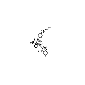 CCCCCOc1ccc(C(=O)[C@H]2CC[C@@H](Cn3nnc4ccc(C)cc4c3=O)[C@@H]2C(=O)O)cc1